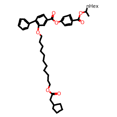 CCCCCCC(C)OC(=O)c1ccc(OC(=O)c2ccc(-c3ccccc3)c(OCCCCCCCCCCCOC(=O)CC3CCCC3)c2)cc1